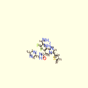 Cc1cnc(CNC(=O)c2cc(N/C(=C\N)C(F)F)c3ncc(-c4ccc(C)s4)n3c2)cn1